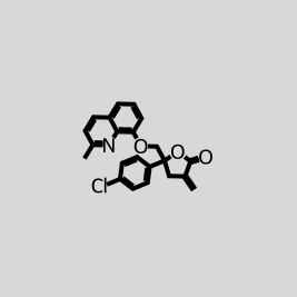 C=C1CC(COc2cccc3ccc(C)nc23)(c2ccc(Cl)cc2)OC1=O